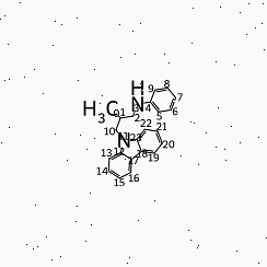 CC(CNc1ccccc1)Cn1c2ccccc2c2ccccc21